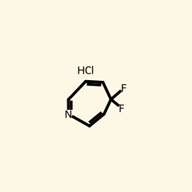 Cl.FC1(F)C=CC=NC=C1